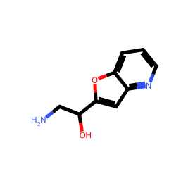 NCC(O)c1cc2ncccc2o1